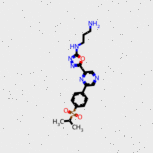 CC(C)S(=O)(=O)c1ccc(-c2cncc(-c3nnc(NCCCN)o3)n2)cc1